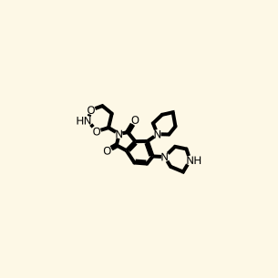 O=C1c2ccc(N3CCNCC3)c(N3CCCCC3)c2C(=O)N1C1CCONO1